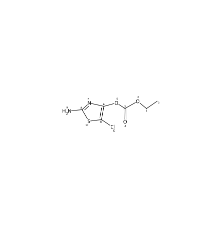 CCOC(=O)Oc1nc(N)sc1Cl